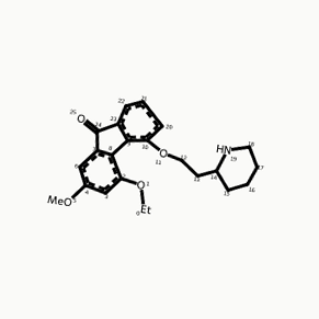 CCOc1cc(OC)cc2c1-c1c(OCCC3CCCCN3)cccc1C2=O